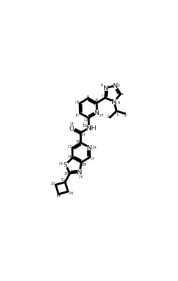 CC(C)n1cnnc1-c1cccc(NC(=O)c2cc3sc(C4CCC4)nc3cn2)n1